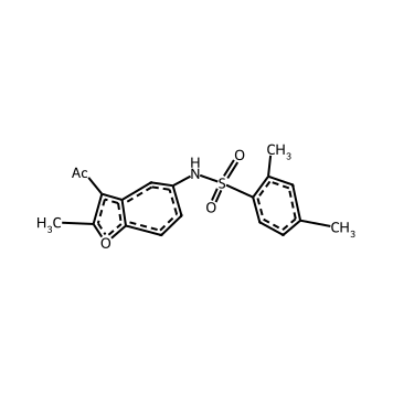 CC(=O)c1c(C)oc2ccc(NS(=O)(=O)c3ccc(C)cc3C)cc12